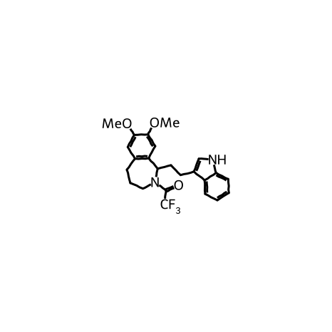 COc1cc2c(cc1OC)C(CCc1c[nH]c3ccccc13)N(C(=O)C(F)(F)F)CCC2